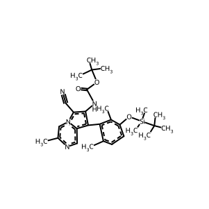 Cc1cn2c(C#N)c(NC(=O)OC(C)(C)C)c(-c3c(C)ccc(O[Si](C)(C)C(C)(C)C)c3C)c2cn1